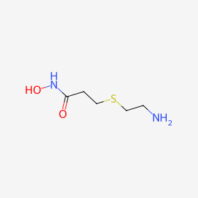 NCCSCCC(=O)NO